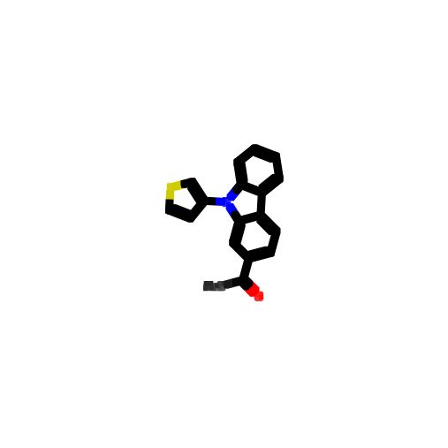 COC(=O)c1ccc2c3ccccc3n(-c3ccsc3)c2c1